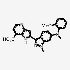 COc1ccccc1N(C)c1ccc2c(-c3cc4nccc(C(=O)O)c4[nH]3)nn(C)c2c1